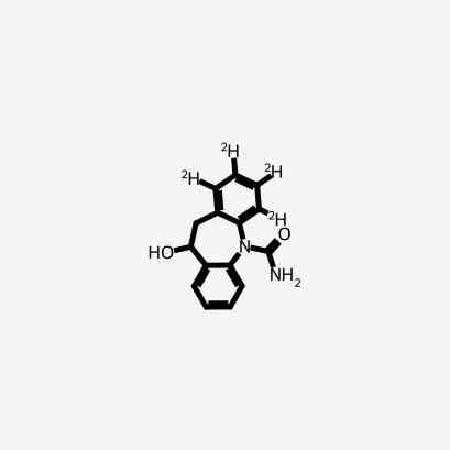 [2H]c1c([2H])c([2H])c2c(c1[2H])CC(O)c1ccccc1N2C(N)=O